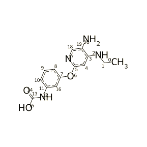 CCNc1cc(Oc2cccc(NC(=O)O)c2)ncc1N